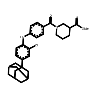 COC(=O)C1CCCN(C(=O)c2ccc(Nc3ccc(C45CC6CC(CC(C6)C4)C5)cc3Cl)cc2)C1